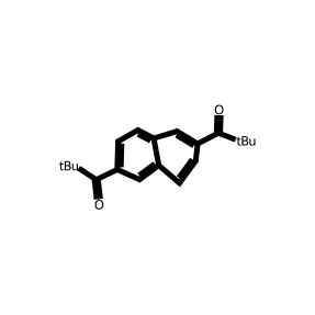 CC(C)(C)C(=O)c1ccc2cc(C(=O)C(C)(C)C)ccc2c1